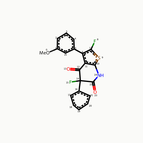 COc1cccc(-c2c(F)sc3c2C(=O)C(F)(c2ccccc2)C(=O)N3)c1